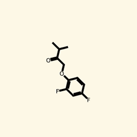 CC(C)C(=O)COc1ccc(F)cc1F